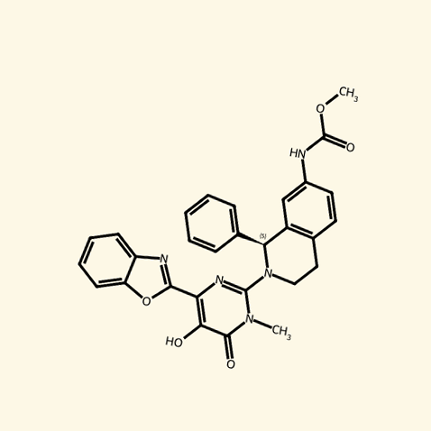 COC(=O)Nc1ccc2c(c1)[C@H](c1ccccc1)N(c1nc(-c3nc4ccccc4o3)c(O)c(=O)n1C)CC2